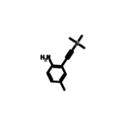 Cc1ccc(N)c(C#C[Si](C)(C)C)c1